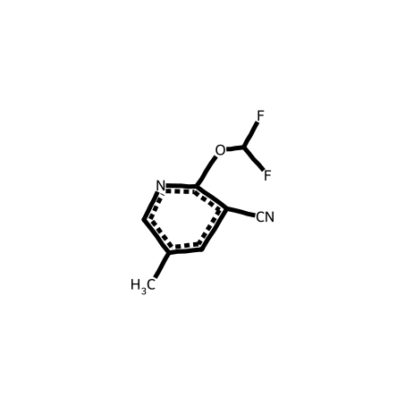 Cc1cnc(OC(F)F)c(C#N)c1